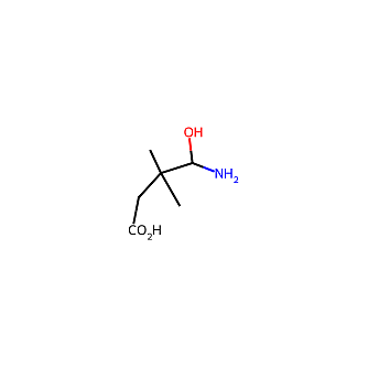 CC(C)(CC(=O)O)C(N)O